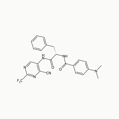 CN(C)c1ccc(C(=O)N[C@@H](Cc2ccccc2)C(=O)Nc2cnc(C(F)(F)F)nc2C#N)cc1